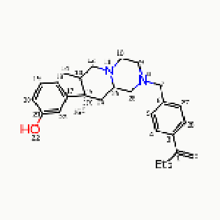 C=C(CC)c1ccc(CN2CCN3CC(C)[C@](C)(c4cccc(O)c4)CC3C2)cc1